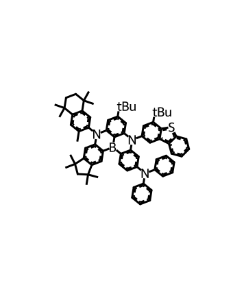 Cc1cc2c(cc1N1c3cc4c(cc3B3c5ccc(N(c6ccccc6)c6ccccc6)cc5N(c5cc(C(C)(C)C)c6sc7ccccc7c6c5)c5cc(C(C)(C)C)cc1c53)C(C)(C)CC4(C)C)C(C)(C)CCC2(C)C